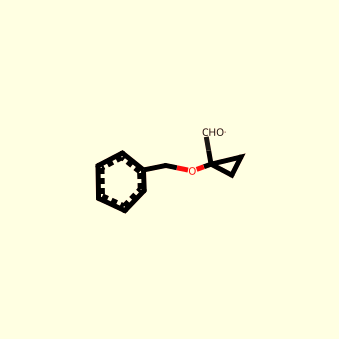 O=[C]C1(OCc2ccccc2)CC1